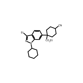 CCOC(=O)C1(c2ccc3c(CC)nn(C4CCCCC4)c3c2)CCC(C#N)CC1